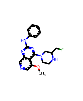 COc1cncc2nc(Nc3ccccc3)nc(N3CCNC(CF)C3)c12